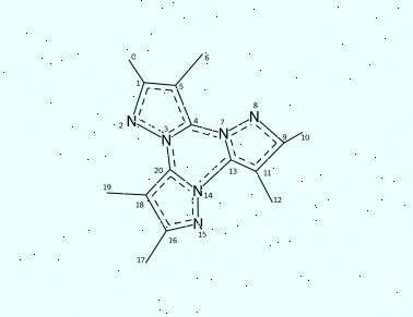 Cc1nn2c(c1C)n1nc(C)c(C)c1n1nc(C)c(C)c21